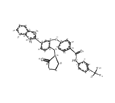 O=C(Nc1ccc(C(F)(F)F)cn1)c1ccc(Oc2cc(-c3nc4cccnc4[nH]3)ccc2CN2CCCC2=O)cc1